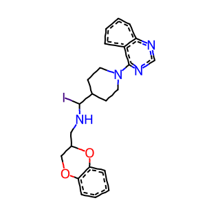 IC(NCC1COc2ccccc2O1)C1CCN(c2ncnc3ccccc23)CC1